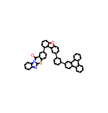 O=c1c2cc(-c3cccc4oc5ccc(-c6cccc(-c7ccc8c9ccccc9c9ccccc9c8c7)c6)cc5c34)ccc2sc2nc3ccccc3n12